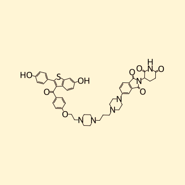 O=C1CCC(N2C(=O)c3ccc(N4CCN(CCCN5CCN(CCOc6ccc(C(=O)c7c(-c8ccc(O)cc8)sc8cc(O)ccc78)cc6)CC5)CC4)cc3C2=O)C(=O)N1